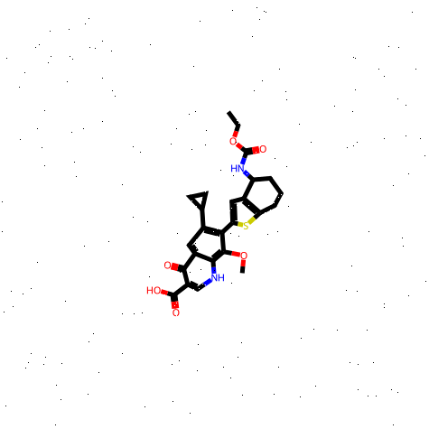 CCOC(=O)NC1CCCc2sc(-c3c(C4CC4)cc4c(=O)c(C(=O)O)c[nH]c4c3OC)cc21